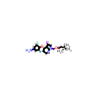 C[Si](C)(C)CCOCn1cc(I)c2c(Oc3c(F)cc(N)cc3F)ccnc21